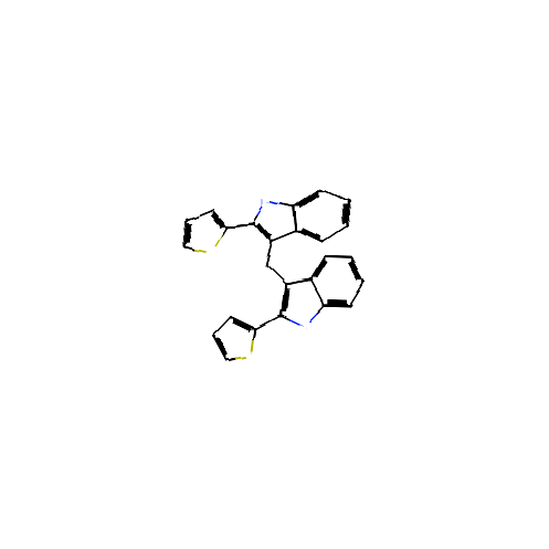 [CH](c1c(-c2cccs2)[nH]c2ccccc12)c1c(-c2cccs2)[nH]c2ccccc12